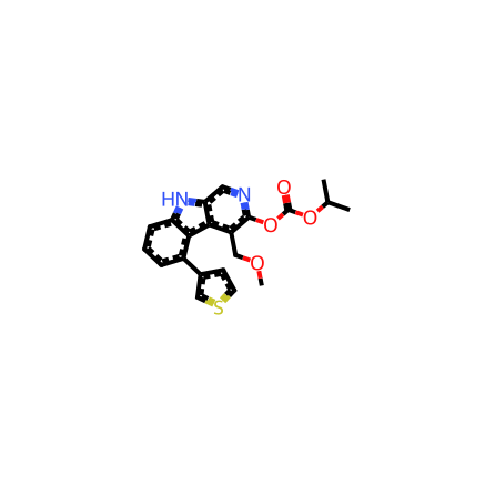 COCc1c(OC(=O)OC(C)C)ncc2[nH]c3cccc(-c4ccsc4)c3c12